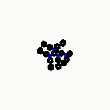 c1ccc(-c2ccc(N(c3ccc(-c4ccccc4)cc3)c3cc4c5c(c3)N(c3ccc6c7ccccc7c7ccccc7c6c3)c3cc(-n6c7ccccc7c7ccccc76)ccc3B5c3cc(-c5ccccc5)ccc3N4c3ccc(-c4ccccc4)cc3)cc2)cc1